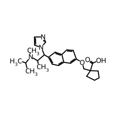 CC(C)N(C)C(C)C(c1ccc2cc(OCC3(C(=O)O)CCCC3)ccc2c1)n1ccnc1